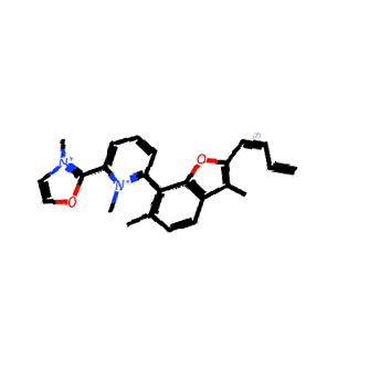 C=C/C=C\c1oc2c(-c3cccc(-c4occ[n+]4C)[n+]3C)c(C)ccc2c1C